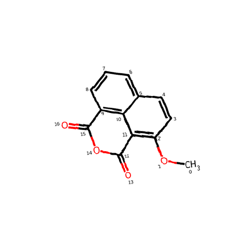 COc1ccc2cccc3c2c1C(=O)OC3=O